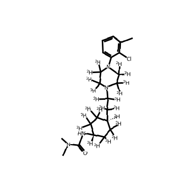 [2H]C1([2H])N(c2cccc(C)c2Cl)C([2H])([2H])C([2H])([2H])N(C([2H])([2H])C([2H])([2H])[C@]2([2H])C([2H])([2H])C([2H])([2H])[C@@]([2H])(NC(=O)N(C)C)C([2H])([2H])C2([2H])[2H])C1([2H])[2H]